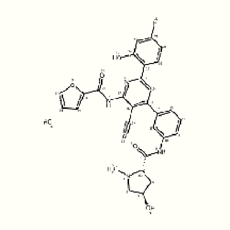 CN1C[C@H](O)C[C@H]1C(=O)Nc1cccc(-c2cc(-c3ccc(F)cc3O)nc(NC(=O)c3ccco3)c2C#N)c1.Cl